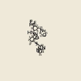 Cc1ccc2c(Nc3cc(CN4CCOCC4)cc(C(F)(F)F)c3)noc2c1C#Cc1cnc2cccnn12